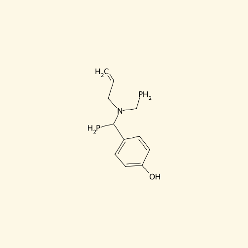 C=CCN(CP)C(P)c1ccc(O)cc1